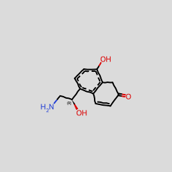 NC[C@H](O)c1ccc(O)c2c1C=CC(=O)C2